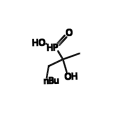 CCCCCC(C)(O)[PH](=O)O